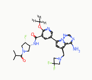 [2H]C([2H])([2H])Oc1ncc(-c2cc(CN3CC(F)(F)C3)c3c(N)ncnn23)cc1C(=O)N[C@@H]1CN(C(=O)C(C)C)C[C@@H]1F